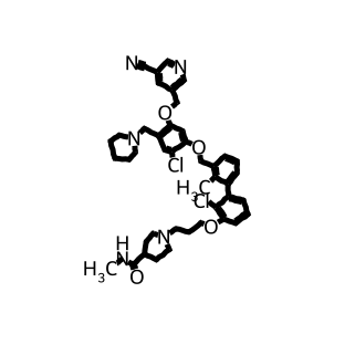 CNC(=O)C1CCN(CCCOc2cccc(-c3cccc(COc4cc(OCc5cncc(C#N)c5)c(CN5CCCCC5)cc4Cl)c3C)c2Cl)CC1